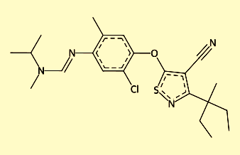 CCC(C)(CC)c1nsc(Oc2cc(C)c(N=CN(C)C(C)C)cc2Cl)c1C#N